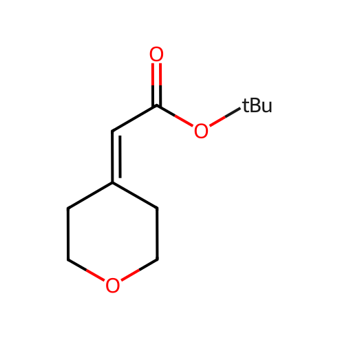 CC(C)(C)OC(=O)C=C1CCOCC1